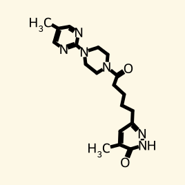 Cc1cnc(N2CCN(C(=O)CCCCc3cc(C)c(=O)[nH]n3)CC2)nc1